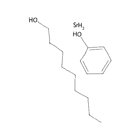 CCCCCCCCCO.Oc1ccccc1.[SrH2]